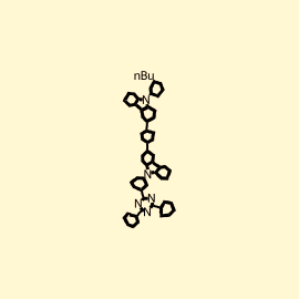 CCCCc1cccc(-n2c3ccccc3c3cc(-c4ccc(-c5ccc6c(c5)c5ccccc5n6-c5cccc(-c6nc(-c7ccccc7)nc(-c7ccccc7)n6)c5)cc4)ccc32)c1